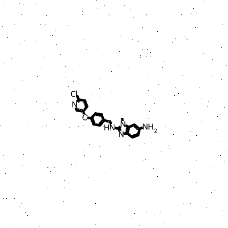 Cn1c(NCc2ccc(Oc3ccc(Cl)nc3)cc2)nc2ccc(N)cc21